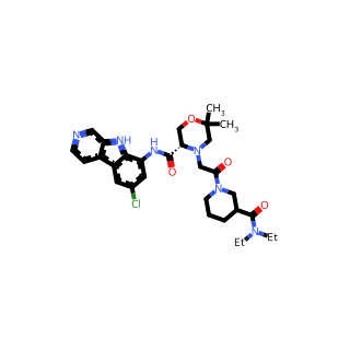 CCN(CC)C(=O)C1CCCN(C(=O)CN2CC(C)(C)OC[C@H]2C(=O)Nc2cc(Cl)cc3c2[nH]c2cnccc23)C1